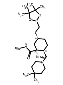 CC(=O)N[C@]1(C(=O)NC(C)(C)C)C[C@H](CCB2OC(C)(C)C(C)(C)O2)CC[C@H]1CN1CCC(C)(C)CC1